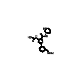 CC(=O)NCc1cccc(-c2cc(NC(N)=O)c(C(=O)N[C@H]3CCCNC3)s2)c1